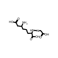 NC(CCCC([NH][Ni][CH2]C(=O)O)C(=O)O)CC(=O)O